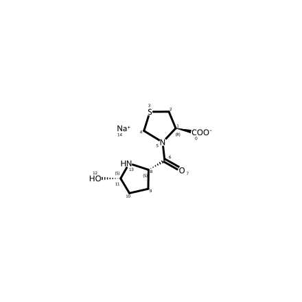 O=C([O-])[C@@H]1CSCN1C(=O)[C@@H]1CC[C@H](O)N1.[Na+]